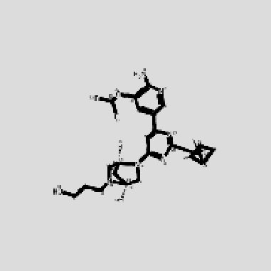 Nc1ncc(-c2cc(N3C[C@@H]4C[C@H]3CN4CCCO)nc(N3CC4CC3C4)n2)cc1OC(F)F